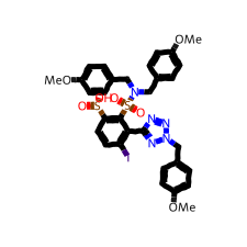 COc1ccc(CN(Cc2ccc(OC)cc2)S(=O)(=O)c2c(S(=O)O)ccc(I)c2-c2nnn(Cc3ccc(OC)cc3)n2)cc1